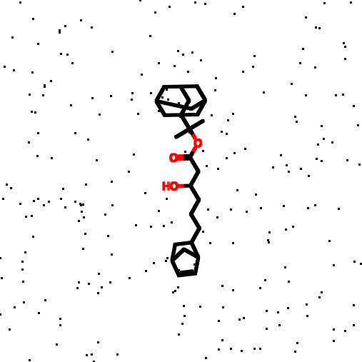 CC(C)(OC(=O)CC(O)CCCC1CC2C=CC1C2)C12CC3CC(CC(C3)C1)C2